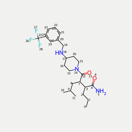 CCCC(C(N)=O)C(CC(C)C)C(=O)N1CCC(NCc2cccc(C(F)(F)F)c2)CC1